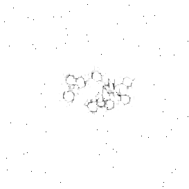 c1ccc(-c2ccccc2-c2nc(-c3cccc(-c4ccc5c(-c6ccccc6)cccc5c4)c3)nc(-c3cccc4c3oc3ccccc34)n2)cc1